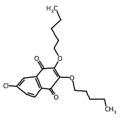 CCCCCOC1=C(OCCCCC)C(=O)c2cc(Cl)ccc2C1=O